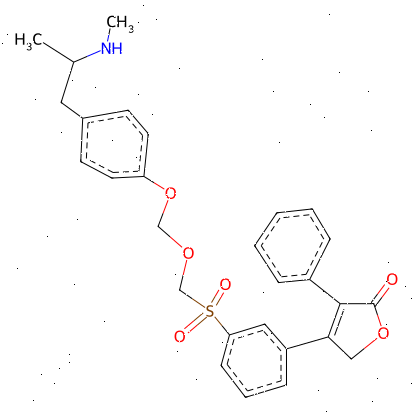 CNC(C)Cc1ccc(OCOCS(=O)(=O)c2cccc(C3=C(c4ccccc4)C(=O)OC3)c2)cc1